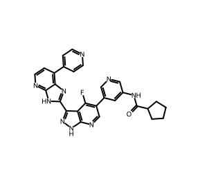 O=C(Nc1cncc(-c2cnc3[nH]nc(-c4nc5c(-c6ccncc6)ccnc5[nH]4)c3c2F)c1)C1CCCC1